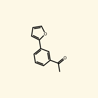 CC(=O)c1cccc(-c2ccco2)c1